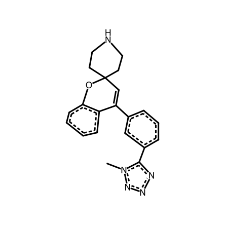 Cn1nnnc1-c1cccc(C2=CC3(CCNCC3)Oc3ccccc32)c1